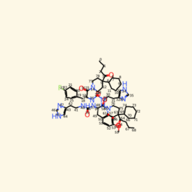 CCCC(=O)C1(C2CCCCC2)CCN(C(=O)[C@@H](Cc2ccc(F)cc2)N(C(=O)NCCc2c[nH]cn2)N(C(=O)NCCc2c[nH]cn2)[C@H](Cc2ccc(OC)cc2)C(=O)N2CCC(C(=O)CCC)(C3CCCCC3)CC2)CC1